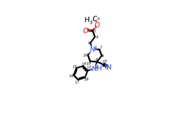 COC(=O)CCN1CCC(C#N)(Nc2ccccc2)CC1